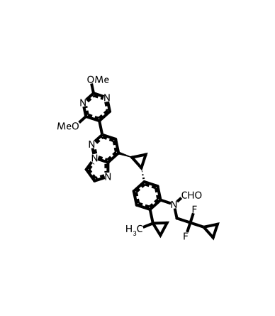 COc1ncc(-c2cc([C@H]3C[C@@H]3c3ccc(C4(C)CC4)c(N(C=O)CC(F)(F)C4CC4)c3)c3nccn3n2)c(OC)n1